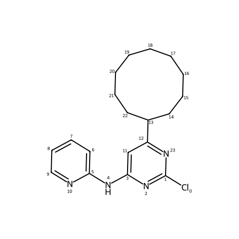 Clc1nc(Nc2ccccn2)cc(C2CCCCCCCCC2)n1